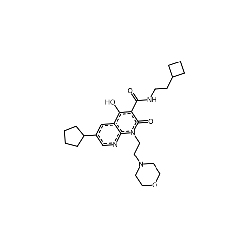 O=C(NCCC1CCC1)c1c(O)c2cc(C3CCCC3)cnc2n(CCN2CCOCC2)c1=O